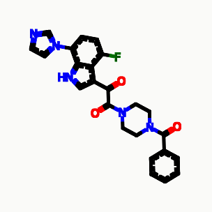 O=C(C(=O)N1CCN(C(=O)c2ccccc2)CC1)c1c[nH]c2c(-n3ccnc3)ccc(F)c12